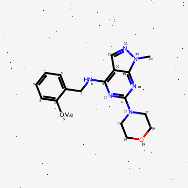 COc1ccccc1CNc1nc(N2CCOCC2)nc2c1cnn2C